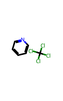 ClC(Cl)(Cl)Cl.c1ccncc1